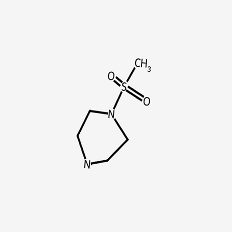 CS(=O)(=O)N1CC[N]CC1